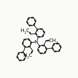 C=Cc1c(-c2ccccc2)cccc1N(c1cccc(-c2ccccc2)c1C=C)c1cccc(-c2ccccc2)c1C=C